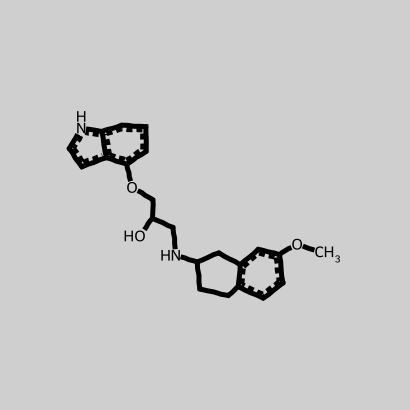 COc1ccc2c(c1)CC(NCC(O)COc1cccc3[nH]ccc13)CC2